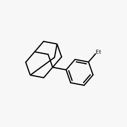 [CH2]Cc1cccc(C23CC4CC(CC(C4)C2)C3)c1